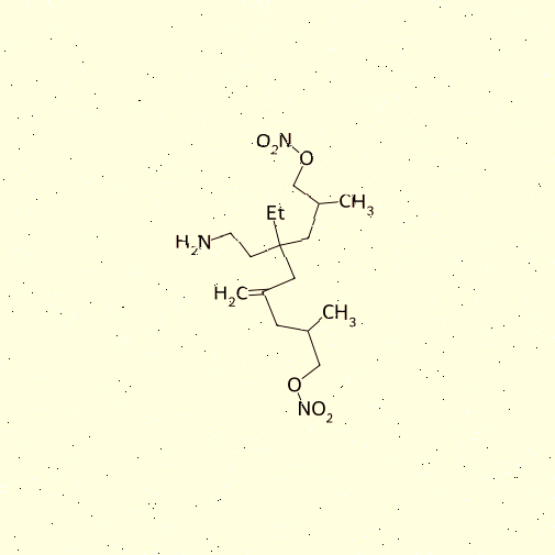 C=C(CC(C)CO[N+](=O)[O-])CC(CC)(CCN)CC(C)CO[N+](=O)[O-]